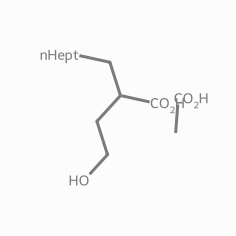 CC(=O)O.CCCCCCCCC(CCO)C(=O)O